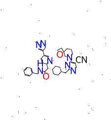 Cn1cc(-c2ccc(C(C(=O)NCc3ccccc3)[C@H]3CC[C@H](Cc4ncc(C#N)c(N5CCCC6(CCO6)C5)n4)CC3)nc2)cn1